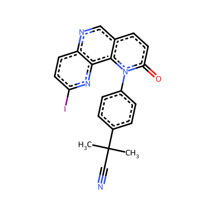 CC(C)(C#N)c1ccc(-n2c(=O)ccc3cnc4ccc(I)nc4c32)cc1